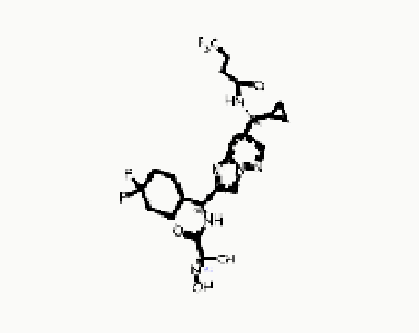 N#C/C(=N\O)C(=O)N[C@H](c1cn2ncc([C@H](NC(=O)CCC(F)(F)F)C3CC3)cc2n1)C1CCC(F)(F)CC1